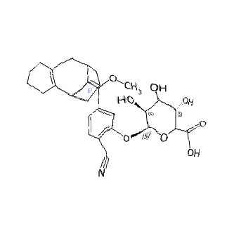 CO/C(=C1\C2CCCC1C1=C(CCCC1)C2)c1ccc(C#N)c(O[C@@H]2OC(C(=O)O)[C@@H](O)C(O)[C@@H]2O)c1